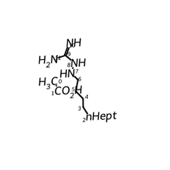 CC(=O)O.CCCCCCCCCCCNNC(=N)N